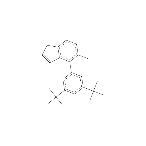 Cc1ccc2c(c1-c1cc(C(C)(C)C)cc(C(C)(C)C)c1)C=CC2